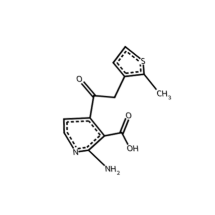 Cc1sccc1CC(=O)c1ccnc(N)c1C(=O)O